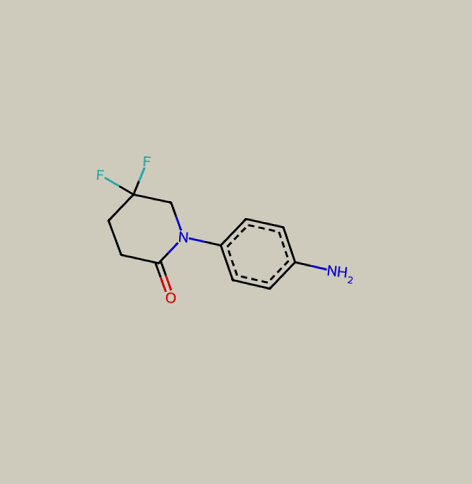 Nc1ccc(N2CC(F)(F)CCC2=O)cc1